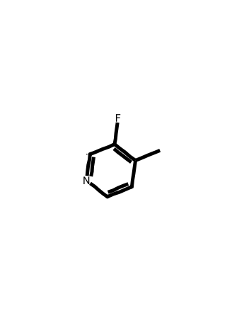 Cc1ccn[c]c1F